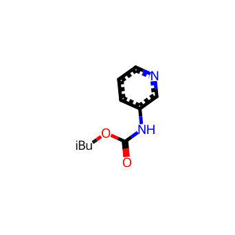 CCC(C)OC(=O)Nc1cccnc1